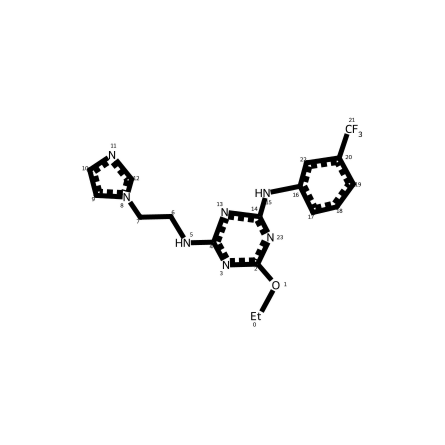 CCOc1nc(NCCn2ccnc2)nc(Nc2cccc(C(F)(F)F)c2)n1